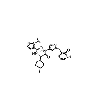 CC1CCC([C@H](NC(=O)c2ccnn2C(C)C)C(=O)Nc2cnn(Cc3ccc[nH]c3=O)c2)CC1